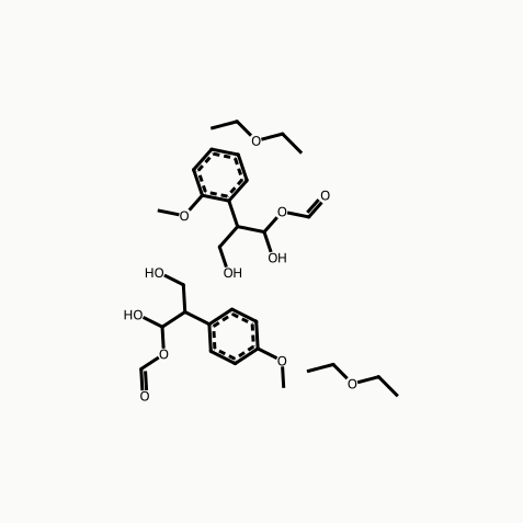 CCOCC.CCOCC.COc1ccc(C(CO)C(O)OC=O)cc1.COc1ccccc1C(CO)C(O)OC=O